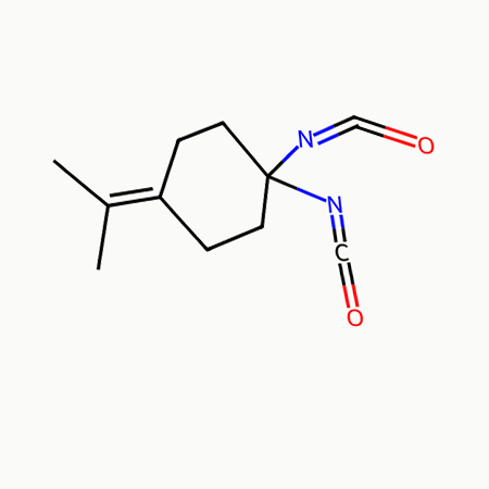 CC(C)=C1CCC(N=C=O)(N=C=O)CC1